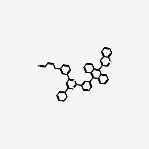 N=C/C=C\Cc1cccc(-c2cc(C3=CC=CCC3)nc(-c3cccc(-c4c5ccccc5c(-c5cnc6ccccc6c5)c5ccccc45)c3)n2)c1